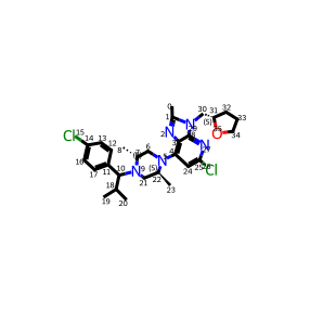 Cc1nc2c(N3C[C@@H](C)N(C(c4ccc(Cl)cc4)C(C)C)C[C@@H]3C)cc(Cl)nc2n1C[C@@H]1CCCO1